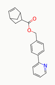 O=C(OCc1ccc(-c2ccccn2)cc1)C1CC2C=CC1C2